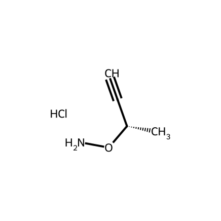 C#C[C@H](C)ON.Cl